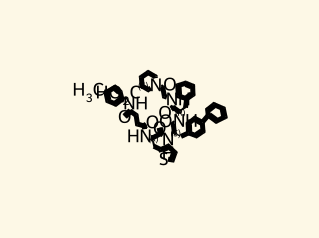 Cc1ccc(NC(=O)CCC(=O)N[C@H](Cc2cccs2)C(=O)N[C@@H](Cc2ccc(-c3ccccc3)cc2)C(=O)N[C@H](Cc2ccccc2)C(=O)NCC(=O)N2CCC[C@H](C(=O)O)C2)cc1